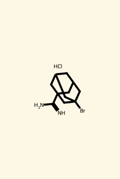 Cl.N=C(N)C12CC3CC(CC(Br)(C3)C1)C2